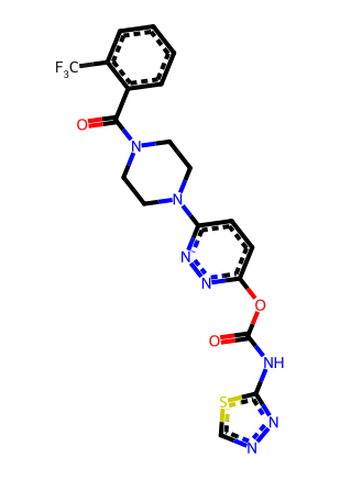 O=C(Nc1nncs1)Oc1ccc(N2CCN(C(=O)c3ccccc3C(F)(F)F)CC2)nn1